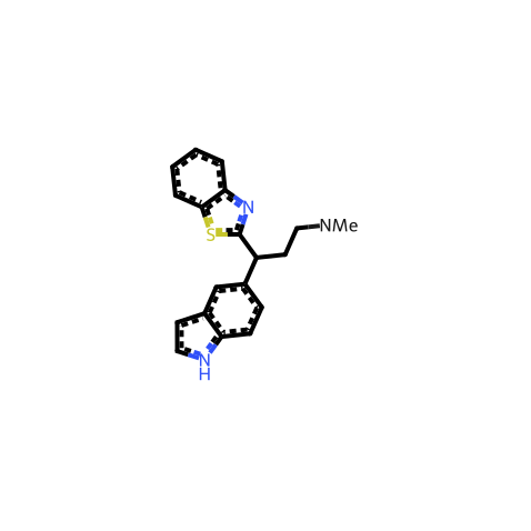 CNCCC(c1ccc2[nH]ccc2c1)c1nc2ccccc2s1